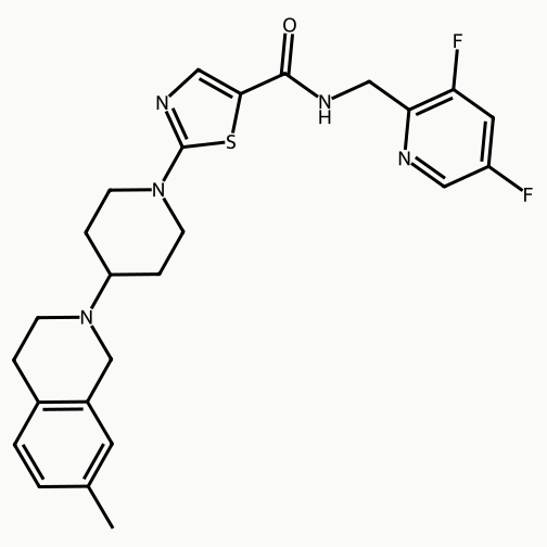 Cc1ccc2c(c1)CN(C1CCN(c3ncc(C(=O)NCc4ncc(F)cc4F)s3)CC1)CC2